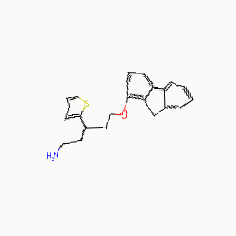 NCCC(CCOc1cccc2c1Cc1ccccc1-2)c1cccs1